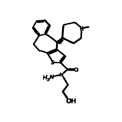 CN1CCC(=C2c3ccccc3CCc3sc(C(=O)N(N)CCO)cc32)CC1